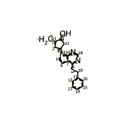 [CH2][C@H]1C[C@@H](n2ccc3c(SCc4ccccc4)ncnc32)C[C@@H]1O